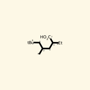 CCC(CC(C)CC(C)(C)C)C(=O)O